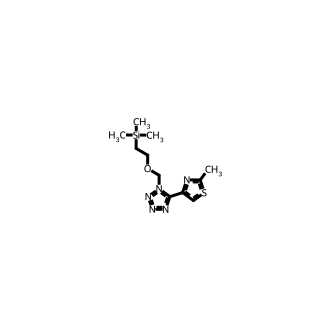 Cc1nc(-c2nnnn2COCC[Si](C)(C)C)cs1